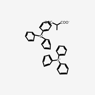 CC(C(=O)[O-])C(=O)[O-].c1ccc([S+](c2ccccc2)c2ccccc2)cc1.c1ccc([S+](c2ccccc2)c2ccccc2)cc1